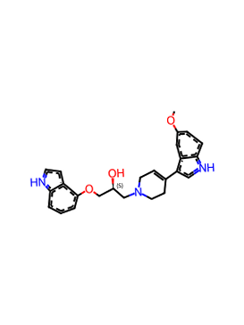 COc1ccc2[nH]cc(C3=CCN(C[C@H](O)COc4cccc5[nH]ccc45)CC3)c2c1